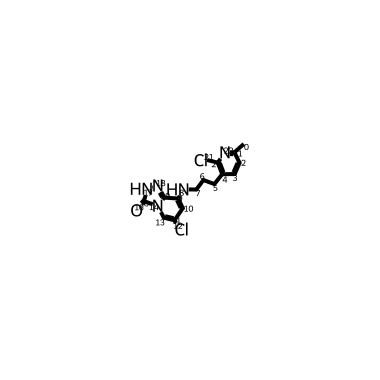 Cc1ccc(CCCNc2cc(Cl)cn3c(=O)[nH]nc23)c(Cl)n1